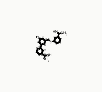 N=C(N)c1cccc(OCc2cc([O])cc(-c3cccc(C(=N)N)c3)c2)c1